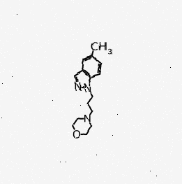 Cc1ccc2c(cnn2CCCN2CCOCC2)c1